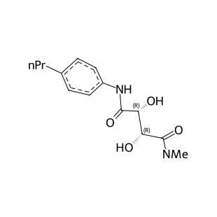 CCCc1ccc(NC(=O)[C@H](O)[C@@H](O)C(=O)NC)cc1